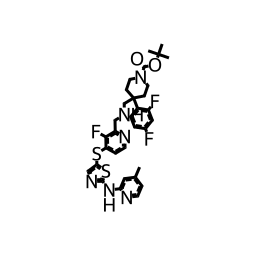 Cc1ccnc(Nc2ncc(Sc3ccnc(CNCC4(c5ccc(F)cc5F)CCN(C(=O)OC(C)(C)C)CC4)c3F)s2)c1